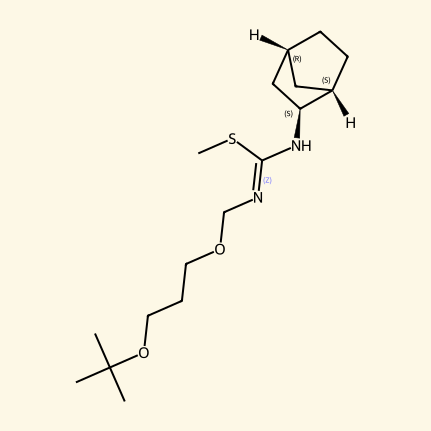 CS/C(=N\COCCCOC(C)(C)C)N[C@H]1C[C@@H]2CC[C@H]1C2